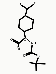 CC(C)(C)OC(=O)N[C@H](C(=O)O)C1CCC(C(F)F)CC1